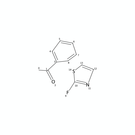 CC(=O)c1ccccc1.Fc1nccs1